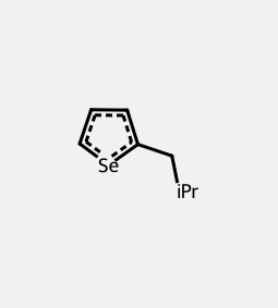 CC(C)Cc1ccc[se]1